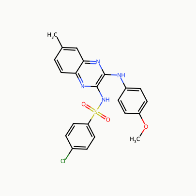 COc1ccc(Nc2nc3cc(C)ccc3nc2NS(=O)(=O)c2ccc(Cl)cc2)cc1